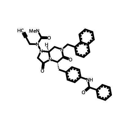 C#CCN(C(=O)NC)N1CC(=O)N2[C@@H](Cc3ccc(NC(=O)c4ccccc4)cc3)C(=O)N(Cc3cccc4ccccc34)C[C@@H]21